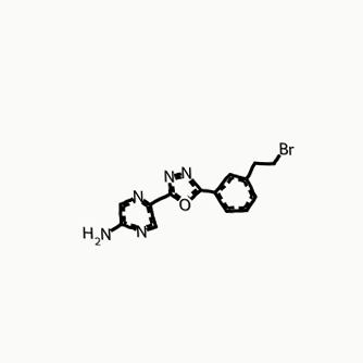 Nc1cnc(-c2nnc(-c3cccc(CCBr)c3)o2)cn1